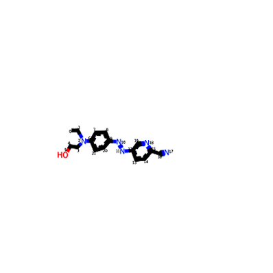 CCN(CCO)c1ccc(/N=N/c2ccc(C#N)nc2)cc1